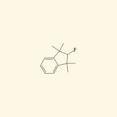 CC1(C)c2ccccc2C(C)(C)C1F